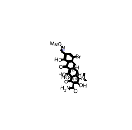 CO/N=C/c1cc(Br)c2c(c1O)C(=O)C1=C(O)[C@]3(O)C(=O)C(C(N)=O)=C(O)[C@@H](N(C)C)[C@@H]3C[C@@H]1C2